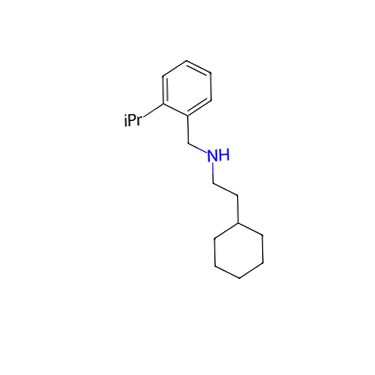 CC(C)c1ccccc1CNCCC1CCCCC1